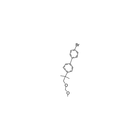 COCOCC(C)(C)c1ccc(-c2ccc(Br)cc2)cc1